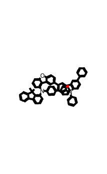 CC1(C)c2ccccc2-c2cccc(N(c3ccc(-c4ccccc4)cc3)c3cccc4oc5ccc(-c6ccc7c(c6)c6cc(-c8ccccc8)ccc6n7-c6ccccc6)cc5c34)c21